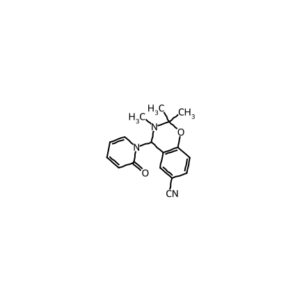 CN1C(n2ccccc2=O)c2cc(C#N)ccc2OC1(C)C